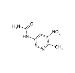 Cc1ncc(NC(N)=O)cc1[N+](=O)[O-]